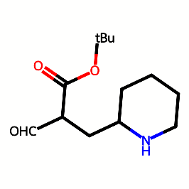 CC(C)(C)OC(=O)C(C=O)CC1CCCCN1